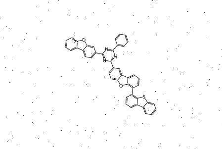 c1ccc(-c2nc(-c3ccc4c(c3)oc3ccccc34)nc(-c3ccc4oc5c(-c6cccc7c6sc6ccccc67)cccc5c4c3)n2)cc1